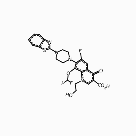 O=C(O)c1cn(CCO)c2c(OC(F)F)c(N3CCN(c4nc5ccccc5s4)CC3)c(F)cc2c1=O